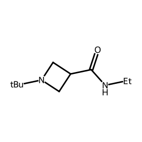 CCNC(=O)C1CN(C(C)(C)C)C1